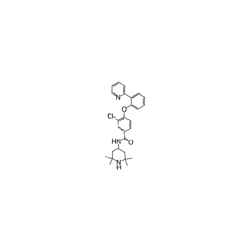 CC1(C)CC(NC(=O)c2ccc(Oc3ccccc3-c3ccccn3)c(Cl)c2)CC(C)(C)N1